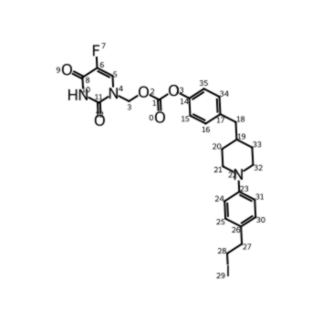 O=C(OCn1cc(F)c(=O)[nH]c1=O)Oc1ccc(CC2CCN(c3ccc(CCI)cc3)CC2)cc1